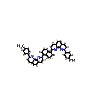 Cc1ccc(-c2ccc3ccc4ccc(-c5cccc6c(-c7ccc8ccc9ccc(-c%10ccc(C)cc%10)nc9c8n7)cccc56)nc4c3n2)cc1